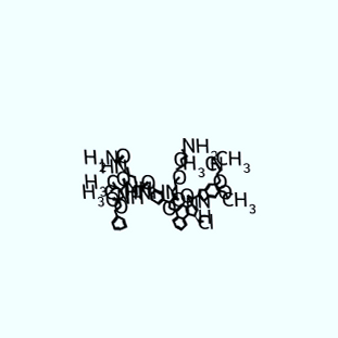 COc1cc2[nH]c(C(=O)N3C[C@@H](CCl)c4c3cc(OC(C(=O)NCCOCCOCCN)c3ccc(NC(=O)C(CCCNC(N)=O)NC(=O)C(NC(=O)OCc5ccccc5)C(C)C)cc3)c3ccccc43)cc2cc1OCCN(C)C